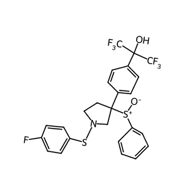 [O-][S+](c1ccccc1)C1(c2ccc(C(O)(C(F)(F)F)C(F)(F)F)cc2)CCN(Sc2ccc(F)cc2)C1